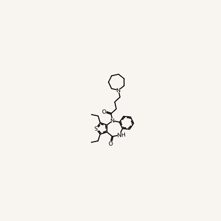 CCc1sc(CC)c2c1C(=O)Nc1ccccc1N2C(=O)CCCN1CCCCCC1